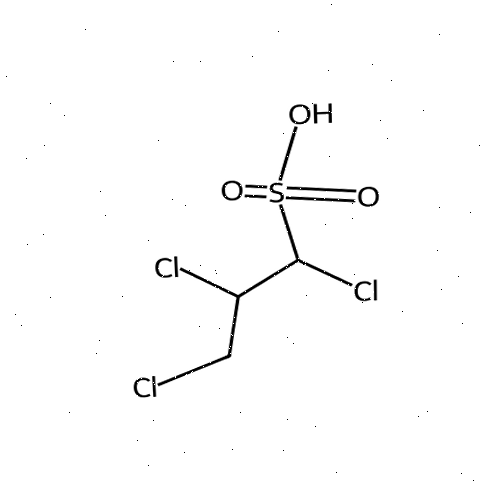 O=S(=O)(O)C(Cl)C(Cl)CCl